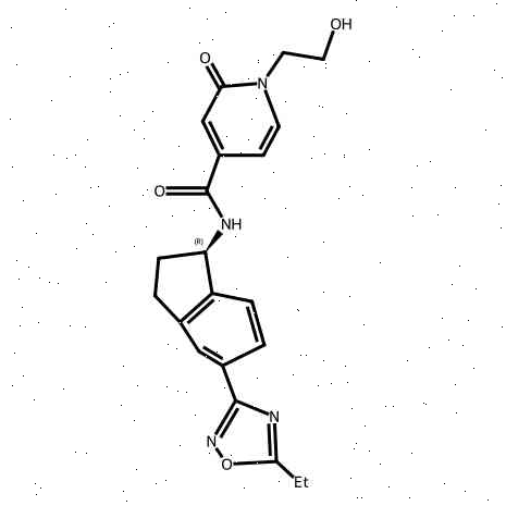 CCc1nc(-c2ccc3c(c2)CC[C@H]3NC(=O)c2ccn(CCO)c(=O)c2)no1